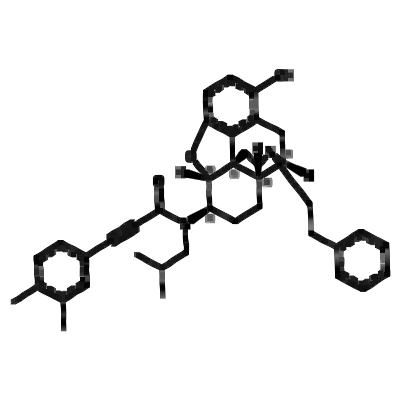 Cc1ccc(C#CC(=O)N(CC(C)C)[C@@H]2CC[C@H]3[C@H]4Cc5c(O)ccc6c5[C@@]3(CCN4CCc3ccccc3)[C@H]2O6)cc1C